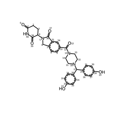 O=C1CCC(N2Cc3ccc(C(=O)N4CCN(C(c5ccc(O)cc5)c5ccc(O)cc5)CC4)cc3C2=O)C(=O)N1